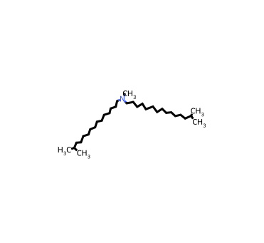 CC(C)CCCCCCCCCCCCCN(C)CCCCCCCCCCCCCC(C)C